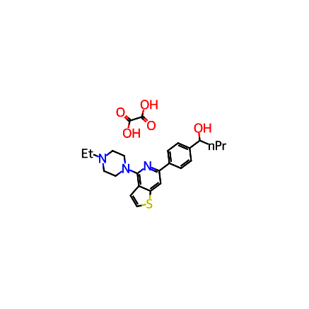 CCCC(O)c1ccc(-c2cc3sccc3c(N3CCN(CC)CC3)n2)cc1.O=C(O)C(=O)O